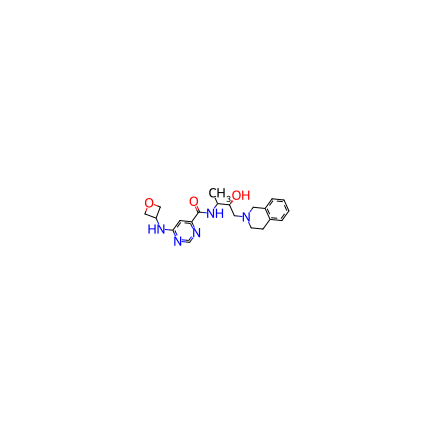 CC(NC(=O)c1cc(NC2COC2)ncn1)[C@@H](O)CN1CCc2ccccc2C1